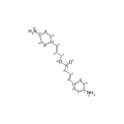 Nc1ccc(/C=C/[CH]C(=O)OC/C=C/c2ccc(N)cc2)cc1